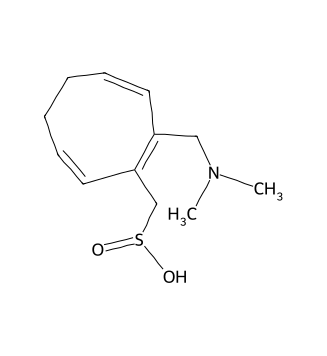 CN(C)CC1=C(CS(=O)O)/C=C\CC/C=C\1